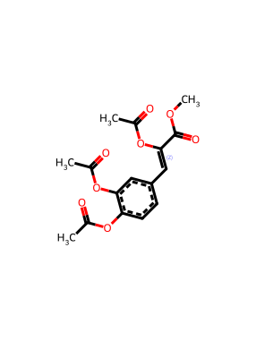 COC(=O)/C(=C/c1ccc(OC(C)=O)c(OC(C)=O)c1)OC(C)=O